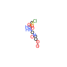 COCCOc1ccc2c(=O)n(-c3ccc(NC(=O)NS(=O)(=O)c4ccc(Cl)s4)cc3)ccc2c1